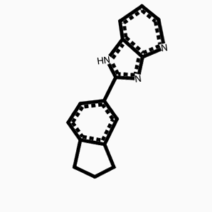 c1cnc2nc(-c3ccc4c(c3)CCC4)[nH]c2c1